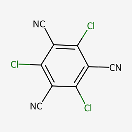 N#Cc1c(Cl)c(C#N)c(Cl)c(C#N)c1Cl